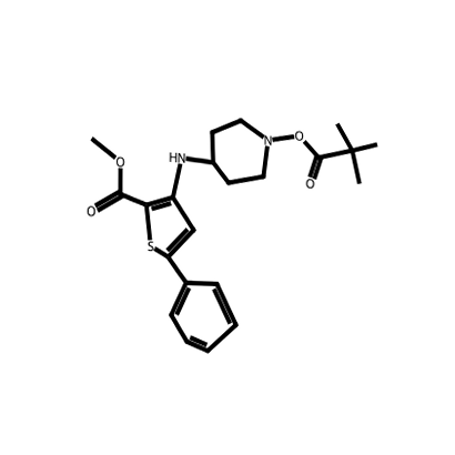 COC(=O)c1sc(-c2ccccc2)cc1NC1CCN(OC(=O)C(C)(C)C)CC1